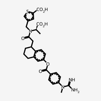 C[C@H](C(=O)O)N(Cc1csc(C(=O)O)c1)C(=O)CC1CCCc2cc(OC(=O)c3ccc(N(C)C(=N)N)cc3)ccc21